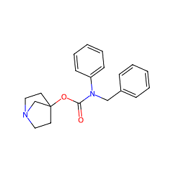 O=C(OC12CCN(CC1)C2)N(Cc1ccccc1)c1ccccc1